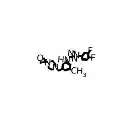 Cc1cc(CN2CCN(C3COC3)CC2)cc(Nc2ncn(-c3ccc(F)c(F)c3)n2)c1